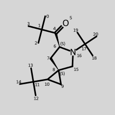 CC(C)(C)C(=O)[C@@H]1C[C@]2(CC2C(C)(C)C)CN1C(C)(C)C